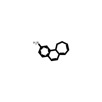 Nc1ccc2c(c1)C1CCC=CC=C1C=C2